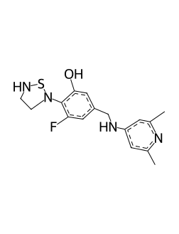 Cc1cc(NCc2cc(O)c(N3CCNS3)c(F)c2)cc(C)n1